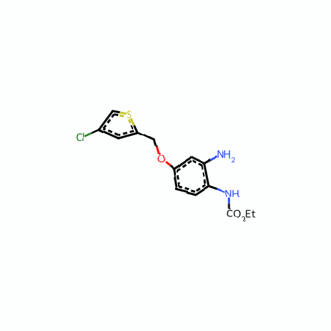 CCOC(=O)Nc1ccc(OCc2cc(Cl)cs2)cc1N